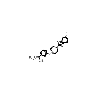 CC(C(=O)O)c1cccc(CN2CCN(c3nc4ccc(Cl)cc4s3)CC2)c1